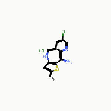 Cc1cc2c(s1)C(N)=c1ncc(Cl)cc1=CN2.Cl